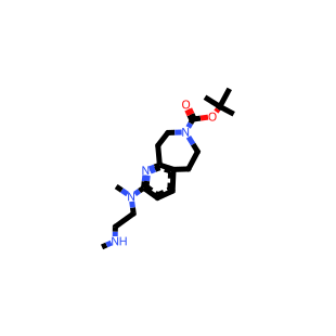 CNCCN(C)c1ccc2c(n1)CCN(C(=O)OC(C)(C)C)CC2